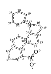 O=[N+]([O-])c1cccc2ccc3c(ccc4ccn(-c5ccccc5)c43)c12